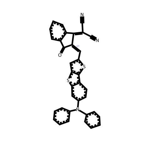 N#CC(C#N)=C1/C(=C/c2cc3sc4cc(N(c5ccccc5)c5ccccc5)ccc4c3s2)C(=O)c2ccccc21